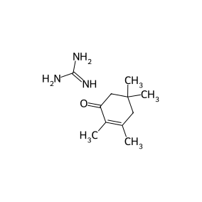 CC1=C(C)C(=O)CC(C)(C)C1.N=C(N)N